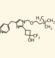 C[Si](C)(C)CCOCn1cc(Cc2ccncc2)nc1C1CC(O)(C(F)(F)F)C1